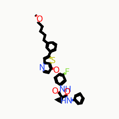 COCCCCCc1cccc(-c2cc3nccc(Oc4ccc(NC(=O)C5(C(=O)Nc6ccccc6)CC5)cc4F)c3s2)c1